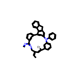 C=N/C1=N\CC(=C/C)/C=C(\CC)c2cccc(c2)N(c2ccccc2)c2cc3c(c(c2)-c2cccc1c2)-c1ccccc1C3